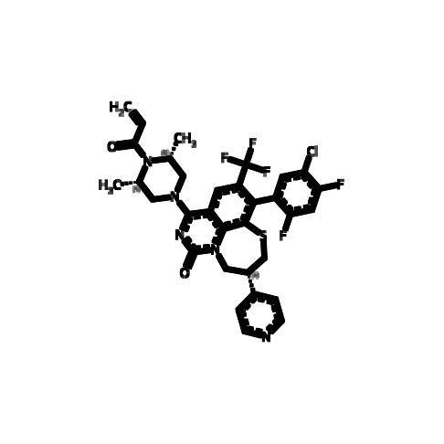 C=CC(=O)N1[C@H](C)CN(c2nc(=O)n3c4c(c(-c5cc(Cl)c(F)cc5F)c(C(F)(F)F)cc24)SC[C@H](c2ccncc2)C3)C[C@@H]1C